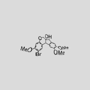 COc1cc2c(cc1Br)C1c3cc(OC)c(OC)cc3CC1(O)CO2